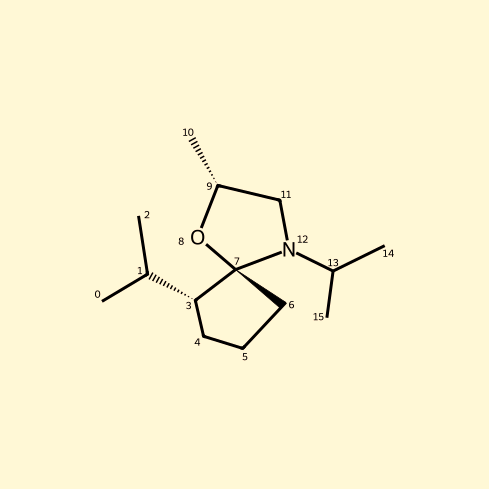 CC(C)[C@H]1CCC[C@]12O[C@H](C)CN2C(C)C